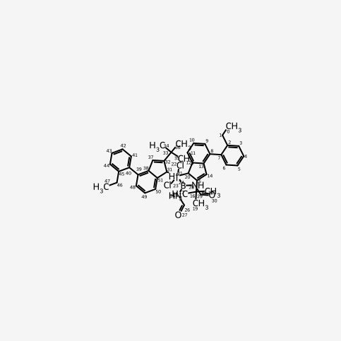 CCc1ccccc1-c1cccc2c1C=C(C(C)(C)C)[CH]2[Hf]([Cl])([Cl])([B](NC=O)NC=O)[CH]1C(C(C)(C)C)=Cc2c(-c3ccccc3CC)cccc21